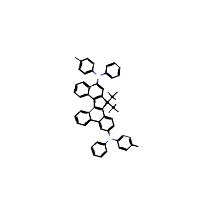 Cc1ccc(N(c2ccccc2)c2ccc3c4c(c5ccccc5c3c2)-c2c(cc(N(c3ccccc3)c3ccc(C)cc3)c3ccccc23)C4(C(C)(C)C)C(C)(C)C)cc1